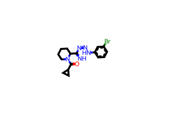 N=C(/N=N\Nc1cccc(Br)c1)C1CCCCN1C(=O)C1CC1